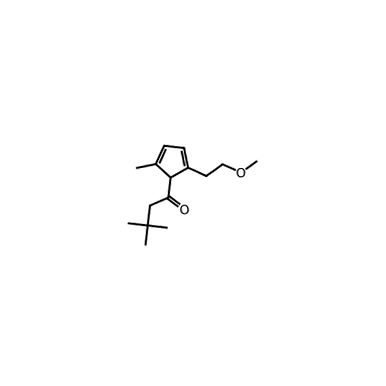 COCCC1=CC=C(C)C1C(=O)CC(C)(C)C